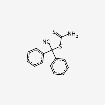 N#CC(SC(N)=S)(c1ccccc1)c1ccccc1